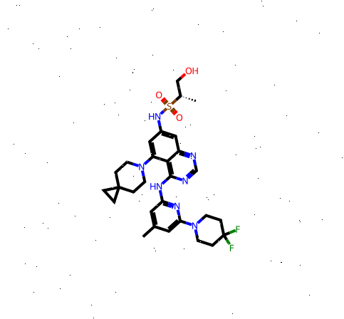 Cc1cc(Nc2ncnc3cc(NS(=O)(=O)[C@@H](C)CO)cc(N4CCC5(CC4)CC5)c23)nc(N2CCC(F)(F)CC2)c1